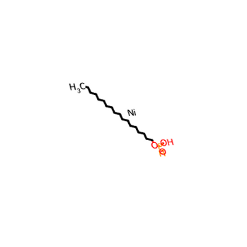 CCCCCCCCCCCCCCCCCCO[PH](=O)O.[Ni]